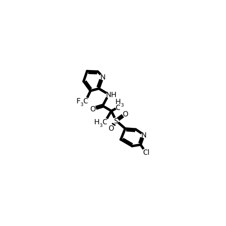 CC(C)(C(=O)Nc1ncccc1C(F)(F)F)S(=O)(=O)c1ccc(Cl)nc1